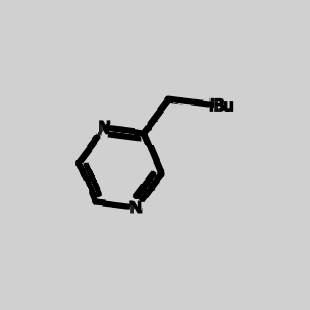 CCC(C)Cc1cnccn1